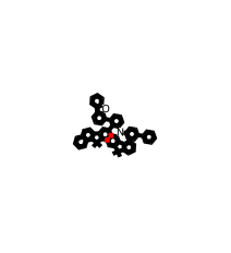 CC1(C)c2ccccc2-c2c(N(c3ccc(-c4ccccc4)cc3)c3cccc(-c4cccc5c4oc4ccccc45)c3-c3ccc4c(c3)-c3ccc5ccccc5c3C4(C)C)cccc21